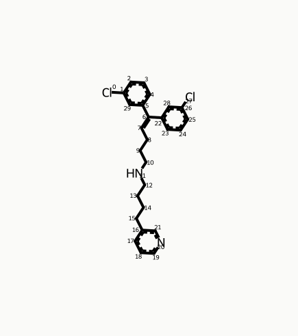 Clc1cccc(C(=CCCCNCCCCc2cccnc2)c2cccc(Cl)c2)c1